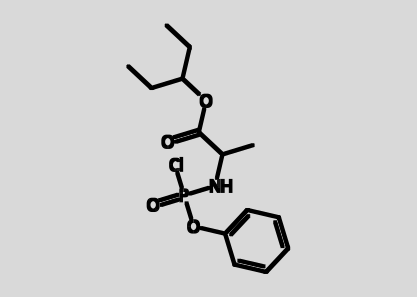 CCC(CC)OC(=O)C(C)NP(=O)(Cl)Oc1ccccc1